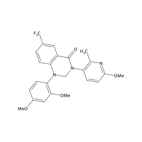 COc1ccc(N2CN(c3ccc(OC)nc3C)C(=O)c3cc(C(F)(F)F)ccc32)c(OC)c1